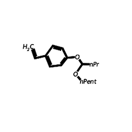 C=Cc1ccc(OC(CCC)OCCCCC)cc1